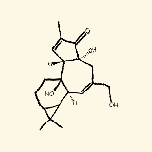 CC1=C[C@H]2[C@@]3(O)CCC4C([C@@H]3C=C(CO)C[C@]2(O)C1=O)C4(C)C